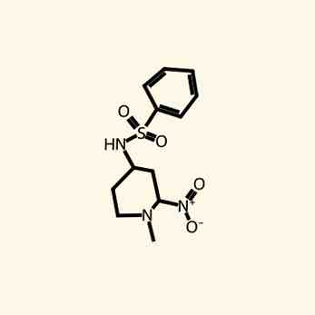 CN1CCC(NS(=O)(=O)c2ccccc2)CC1[N+](=O)[O-]